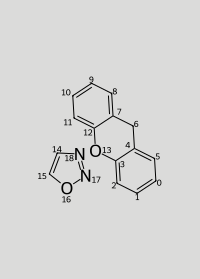 c1ccc2c(c1)Cc1ccccc1O2.c1conn1